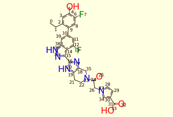 CCc1cc(O)c(F)cc1-c1cc(F)c2c(-c3nc4c([nH]3)CCN(C(=O)Cn3ccc(C(=O)O)c3)C4)n[nH]c2c1